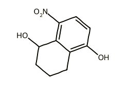 O=[N+]([O-])c1ccc(O)c2c1C(O)CCC2